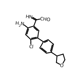 N=C(C=O)c1cc(-c2ccc(C3CCOC3)cc2)c(Cl)cc1N